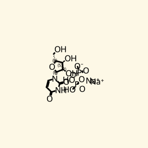 O=P([O-])([O-])OP(=O)(O)O.O=c1ccn([C@@H]2O[C@H](CO)[C@@H](O)[C@H]2O)c(=O)[nH]1.[Na+].[Na+]